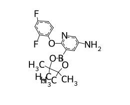 CC1(C)OB(c2cc(N)cnc2Oc2ccc(F)cc2F)OC1(C)C